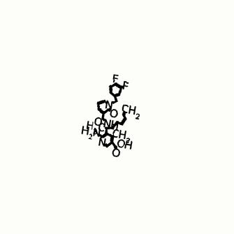 C=C/C=C\C[C@H](C)C(C)(NC(=O)c1cccn(Cc2ccc(F)c(F)c2)c1=O)c1cc(C(=O)O)cnc1N